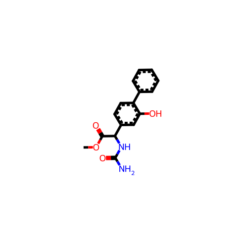 COC(=O)C(NC(N)=O)c1ccc(-c2ccccc2)c(O)c1